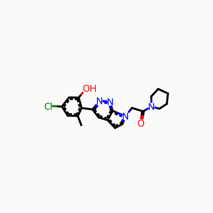 Cc1cc(Cl)cc(O)c1-c1cc2ccn(CC(=O)N3CCCCC3)c2nn1